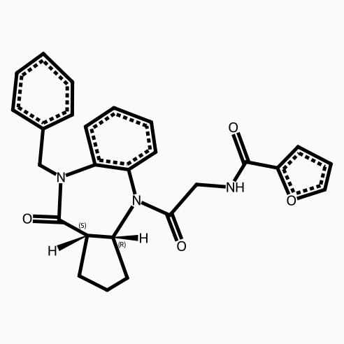 O=C(NCC(=O)N1c2ccccc2N(Cc2ccccc2)C(=O)[C@H]2CCC[C@H]21)c1ccco1